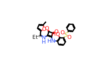 CC[C@@H](Nc1c(Nc2cccc(S(=O)(=O)c3ccccc3)c2O)c(=O)c1=O)c1ccc(C)o1